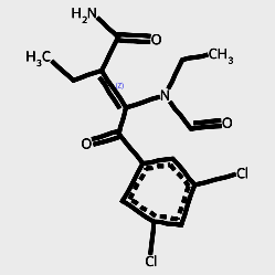 CC/C(C(N)=O)=C(\C(=O)c1cc(Cl)cc(Cl)c1)N(C=O)CC